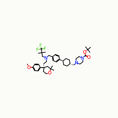 COc1ccc([C@]2(CCN(Cc3ccc([C@H]4CC[C@H](CN5CCN(C(=O)OC(C)(C)C)CC5)CC4)cc3)CC(C)(C)C(F)(F)F)CCOC(C)(C)C2)cc1